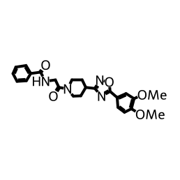 COc1ccc(-c2nc(C3CCN(C(=O)CNC(=O)c4ccccc4)CC3)no2)cc1OC